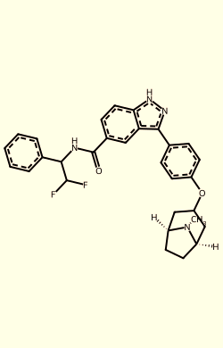 CN1[C@@H]2CC[C@H]1CC(Oc1ccc(-c3n[nH]c4ccc(C(=O)NC(c5ccccc5)C(F)F)cc34)cc1)C2